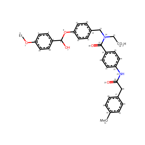 CCOc1ccc(C(O)Oc2ccc(CN(CC(=O)O)C(=O)c3ccc(NC(=O)Cc4ccc(OC)cc4)cc3)cc2)cc1